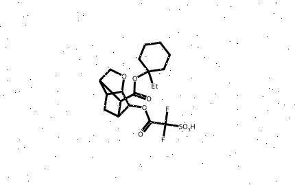 CCC1(OC(=O)C2C3COC4C3CC2C4OC(=O)C(F)(F)S(=O)(=O)O)CCCCC1